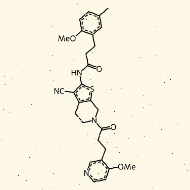 COc1ccc(C)cc1CCC(=O)Nc1sc2c(c1C#N)CCN(C(=O)CCc1cnccc1OC)C2